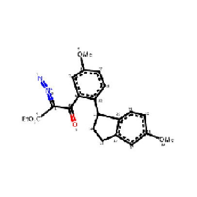 CCOC(=O)C(=[N+]=[N-])C(=O)c1cc(OC)ccc1C1CCc2cc(OC)ccc21